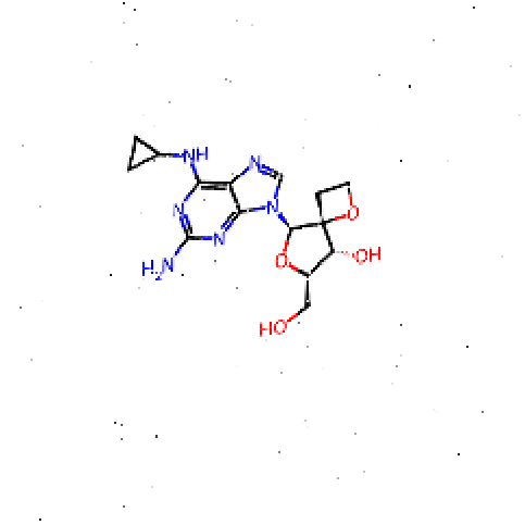 Nc1nc(NC2CC2)c2ncn([C@@H]3O[C@H](CO)[C@@H](O)[C@]34CCO4)c2n1